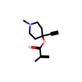 C#CC1(OC(=O)C(=C)C)CCN(C)CC1